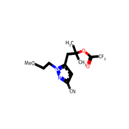 COCCn1nc(C#N)cc1CC(C)(C)OC(=O)C(F)(F)F